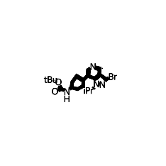 CC(C)n1nc(Br)c2[c]ncc(C3=CCC(NC(=O)OC(C)(C)C)CC3)c21